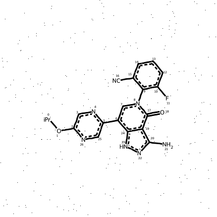 CC(C)Oc1cnc(-c2cn(-c3c(F)cccc3C#N)c(=O)c3c(N)n[nH]c23)cn1